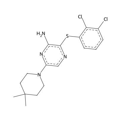 CC1(C)CCN(c2cnc(Sc3cccc(Cl)c3Cl)c(N)n2)CC1